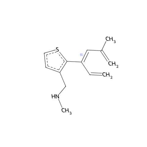 C=C/C(=C\C(=C)C)c1sccc1CNC